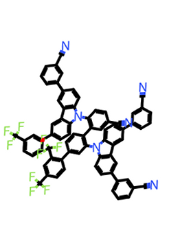 N#Cc1cccc(-c2ccc3c(c2)c2cc(-c4cccc(C(F)(F)F)c4)ccc2n3-c2ccc(C#N)cc2-c2ccc(-c3ccc(C(F)(F)F)cc3C(F)(F)F)cc2-n2c3ccc(-c4cccc(C#N)c4)cc3c3cc(-c4cccc(C#N)c4)ccc32)c1